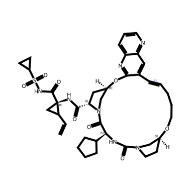 C=CC1C[C@]1(NC(=O)[C@@H]1C[C@@H]2CN1C(=O)[C@H](C1CCCC1)NC(=O)N1CC[C@@H](C1)OCCC/C=C/c1cc3ncccc3nc1O2)C(=O)NS(=O)(=O)C1CC1